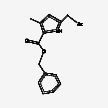 CC(=O)[CH]c1cc(C)c(C(=O)OCc2ccccc2)[nH]1